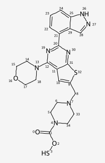 O=C(OS)N1CCN(Cc2cc3c(N4CCOCC4)nc(-c4cccc5[nH]ncc45)nc3s2)CC1